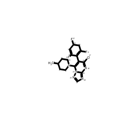 CC1CCN(c2c(C3=C(F)CC(F)C=C3F)c(Cl)nc3ncnn23)CC1